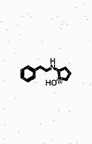 O[C@H]1CCCC1NCCc1ccccc1